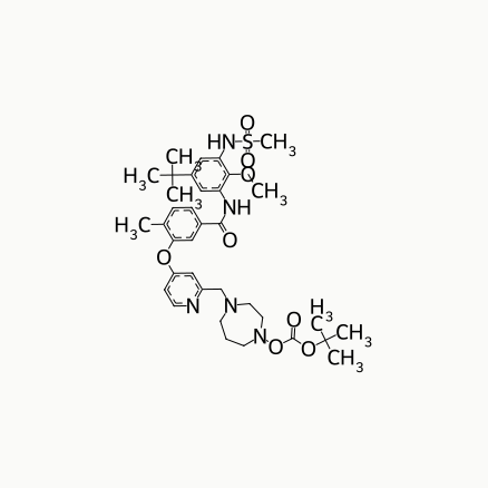 COc1c(NC(=O)c2ccc(C)c(Oc3ccnc(CN4CCCN(OC(=O)OC(C)(C)C)CC4)c3)c2)cc(C(C)(C)C)cc1NS(C)(=O)=O